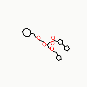 O=C(OCC(COCCC1CCCC1)OCCOCCC1CCCCCCC1)C1CCC(C2CCCC2)C1